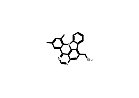 Cc1cc(C)c2c(c1)c1ncnc3cc(CC(C)(C)C)c4c5ccccc5n2c4c31